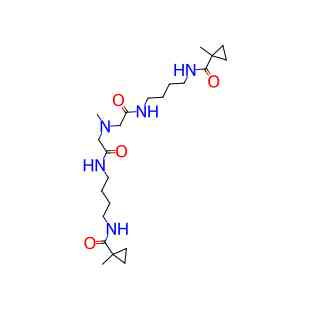 CN(CC(=O)NCCCCNC(=O)C1(C)CC1)CC(=O)NCCCCNC(=O)C1(C)CC1